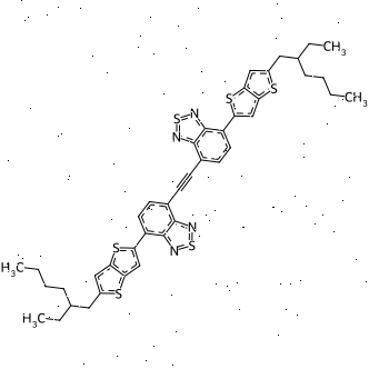 CCCCC(CC)Cc1cc2sc(-c3ccc(C#Cc4ccc(-c5cc6sc(CC(CC)CCCC)cc6s5)c5nsnc45)c4nsnc34)cc2s1